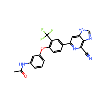 CC(=O)Nc1cccc(Oc2ccc(-c3cc4[nH]cnc4c(C#N)n3)cc2C(F)(F)F)c1